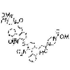 COC(=O)N1CCN(C(=O)/C=C/c2ccc(Sc3ccc(/C=C/C(=O)N4CCN(C(=O)OC)CC4)c(-c4ccccc4C(C)C)c3[N+](=O)[O-])c([N+](=O)[O-])c2-c2ccccc2C(C)C)CC1